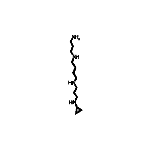 NCCCNCCCCNCCCNC1CC1